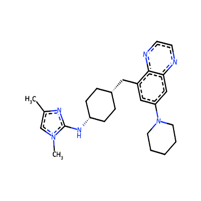 Cc1cn(C)c(N[C@H]2CC[C@@H](Cc3cc(N4CCCCC4)cc4nccnc34)CC2)n1